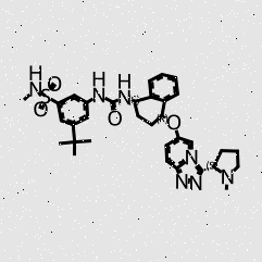 CNS(=O)(=O)c1cc(NC(=O)N[C@H]2CC[C@@H](Oc3ccc4nnc([C@@H]5CCCN5C)n4c3)c3ccccc32)cc(C(C)(C)C)c1